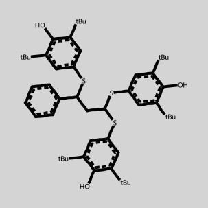 CC(C)(C)c1cc(SC(CC(Sc2cc(C(C)(C)C)c(O)c(C(C)(C)C)c2)c2ccccc2)Sc2cc(C(C)(C)C)c(O)c(C(C)(C)C)c2)cc(C(C)(C)C)c1O